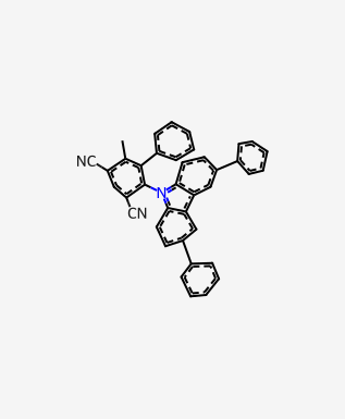 Cc1c(C#N)cc(C#N)c(-n2c3ccc(-c4ccccc4)cc3c3cc(-c4ccccc4)ccc32)c1-c1ccccc1